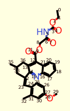 CCOC(=O)NC(=O)COC(=O)c1c2c(nc3ccccc13)/C(=C\c1ccc(OC)cc1C)CC(C)C2